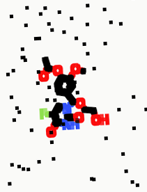 COc1cc(C(OCCO)n2cc(F)c(=O)[nH]c2=O)ccc1OC(C)=O